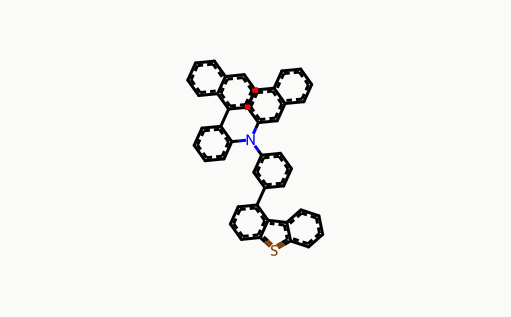 c1cc(-c2cccc3sc4ccccc4c23)cc(N(c2ccc3ccccc3c2)c2ccccc2-c2cccc3ccccc23)c1